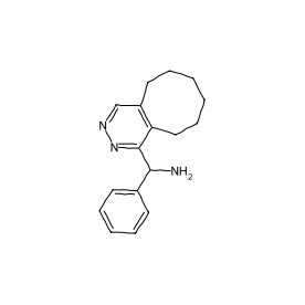 NC(c1ccccc1)c1nncc2c1CCCCCC2